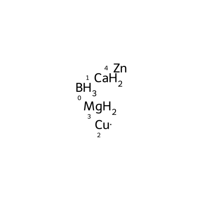 B.[CaH2].[Cu].[MgH2].[Zn]